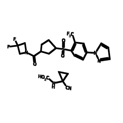 N#CC1(NC(=O)O)CC1.O=C(C1CCC(S(=O)(=O)c2ccc(-n3cccn3)cc2C(F)(F)F)C1)N1CC(F)(F)C1